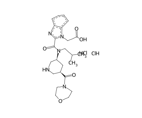 CC(C)CN(C(=O)c1nc2ccccc2n1CC(=O)O)[C@@H]1CNC[C@H](C(=O)N2CCOCC2)C1.Cl.Cl